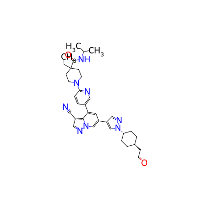 CCC1(C(=O)NC(C)C)CCN(c2ccc(-c3cc(-c4cnn([C@H]5CC[C@H](CC=O)CC5)c4)cn4ncc(C#N)c34)cn2)CC1